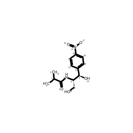 CC(C)C(=O)N[C@@H](CO)[C@H](O)c1ccc([N+](=O)[O-])cc1